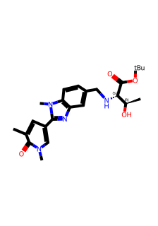 Cc1cc(-c2nc3cc(CN[C@H](C(=O)OC(C)(C)C)[C@@H](C)O)ccc3n2C)cn(C)c1=O